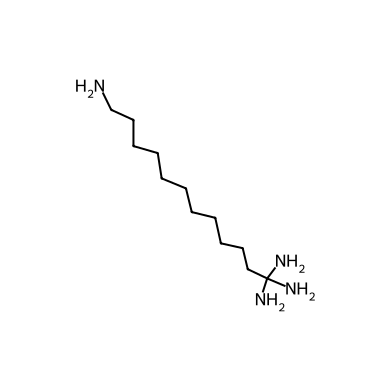 NCCCCCCCCCCCC(N)(N)N